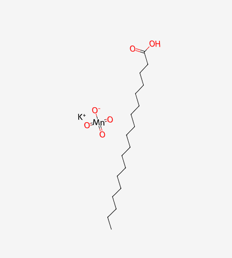 CCCCCCCCCCCCCCCCCC(=O)O.[K+].[O]=[Mn](=[O])(=[O])[O-]